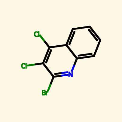 Clc1c(Br)nc2ccccc2c1Cl